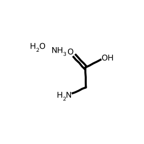 N.NCC(=O)O.O